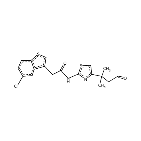 CC(C)(CC=O)c1csc(NC(=O)Cc2csc3ccc(Cl)cc23)n1